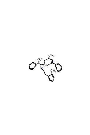 CC1=CC=C=C1C/C=C/C(CC(C)C(C)/C=C(\N)c1ccccc1)C(C)c1ccccc1